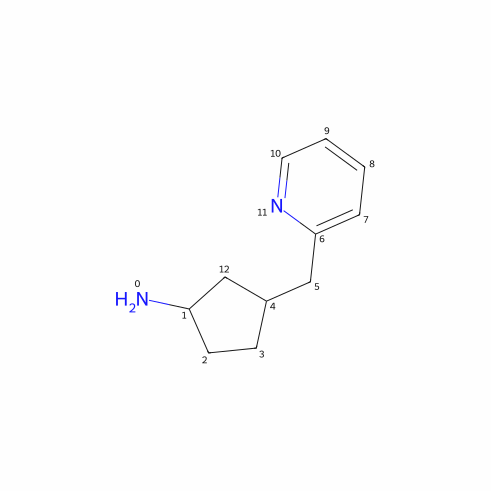 NC1CCC(Cc2ccccn2)C1